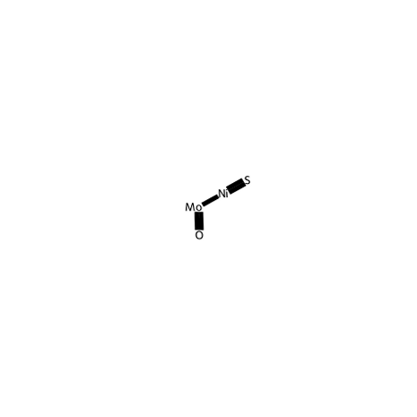 [O]=[Mo][Ni]=[S]